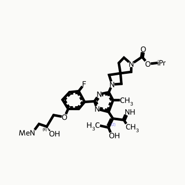 CNC[C@@H](O)COc1ccc(F)c(-c2nc(/C(C(C)=N)=C(\C)O)c(C)c(N3CC4(CCN(C(=O)OC(C)C)C4)C3)n2)c1